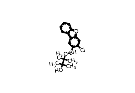 CC(C)(O)C(C)(C)OBc1cc2c(cc1Cl)oc1ccccc12